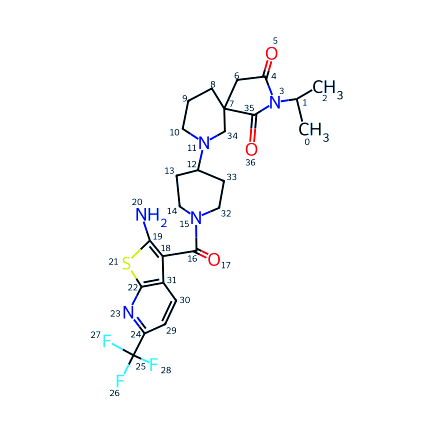 CC(C)N1C(=O)CC2(CCCN(C3CCN(C(=O)c4c(N)sc5nc(C(F)(F)F)ccc45)CC3)C2)C1=O